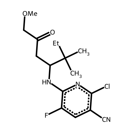 CCC(C)(C)C(CC(=O)COC)Nc1nc(Cl)c(C#N)cc1F